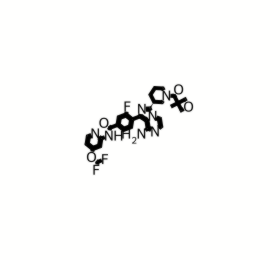 CC1(C(=O)N2CCC[C@@H](c3nc(-c4ccc(C(=O)Nc5cc(OC(F)F)ccn5)cc4F)c4c(N)nccn34)C2)COC1